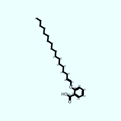 CCCCCCCCCCCCCCCCC=COc1ccccc1C(=O)O